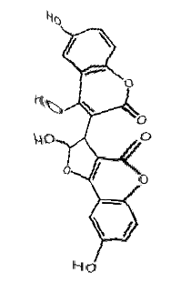 O=c1oc2ccc(O)cc2c(O)c1C1c2c(c3cc(O)ccc3oc2=O)OC1O